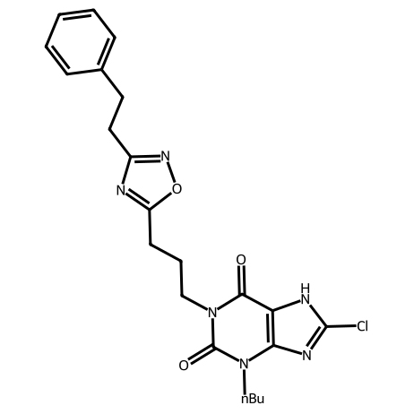 CCCCn1c(=O)n(CCCc2nc(CCc3ccccc3)no2)c(=O)c2[nH]c(Cl)nc21